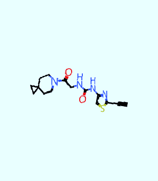 C#Cc1nc(NC(=O)NCC(=O)N2CCC3(CC2)CC3)cs1